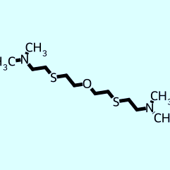 CN(C)CCSCCOCCSCCN(C)C